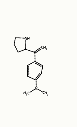 C=C(c1ccc(N(C)C)cc1)C1CCCN1